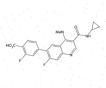 CNc1c(C(=O)NC2CC2)cnc2cc(F)c(-c3ccc(C(=O)O)c(F)c3)cc12